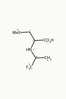 CSCC(NC(C)C(F)(F)F)C(=O)O